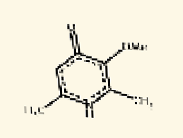 COc1c(C)[nH]c(C)cc1=O